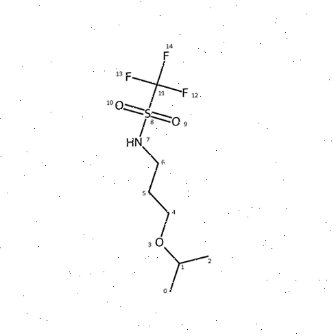 CC(C)OCCCNS(=O)(=O)C(F)(F)F